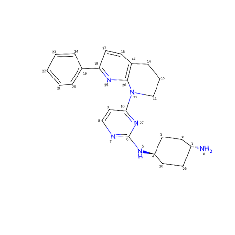 N[C@H]1CC[C@H](Nc2nccc(N3CCCc4ccc(-c5ccccc5)nc43)n2)CC1